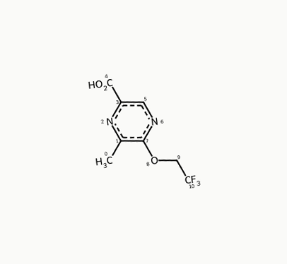 Cc1nc(C(=O)O)cnc1OCC(F)(F)F